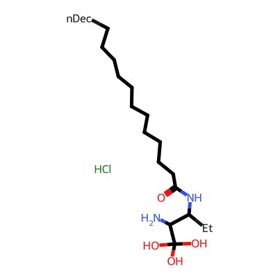 CCCCCCCCCCCCCCCCCCCCCC(=O)NC(CC)C(N)C(O)(O)O.Cl